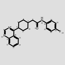 O=C(CC1CCC(c2ncnc3ccccc23)CC1)Nc1ccc(F)cc1